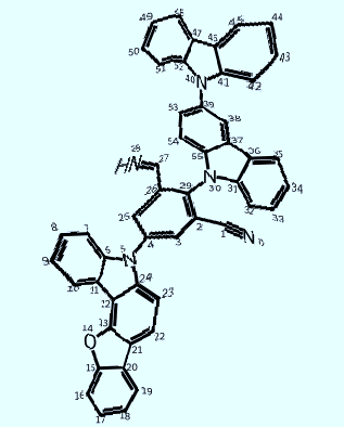 N#Cc1cc(-n2c3ccccc3c3c4oc5ccccc5c4ccc32)cc(C=N)c1-n1c2ccccc2c2cc(-n3c4ccccc4c4ccccc43)ccc21